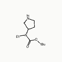 CCN(C(=O)OC(C)(C)C)C1CCNC1